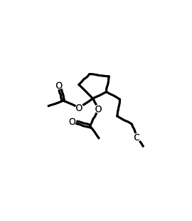 CCCCCC1CCCC1(OC(C)=O)OC(C)=O